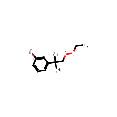 CCOOCC(C)(C)c1cccc(Br)c1